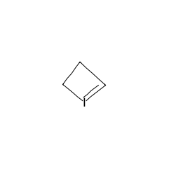 C1=ICC1